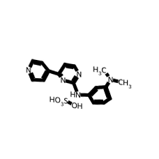 CN(C)c1cccc(Nc2nccc(-c3ccncc3)n2)c1.O=S(=O)(O)O